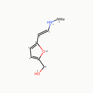 [CH2]NNC=Cc1ccc(CO)o1